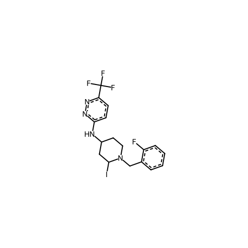 Fc1ccccc1CN1CCC(Nc2ccc(C(F)(F)F)nn2)CC1I